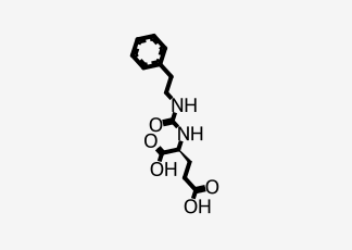 O=C(O)CC[C@H](NC(=O)NCCc1ccccc1)C(=O)O